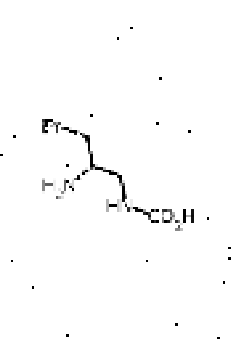 CC(C)CC(N)CNC(=O)O